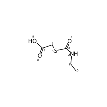 CCNC(=O)SCC(=O)O